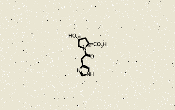 O=C(O)[C@@H]1C[C@@H](O)CN1C(=O)Cc1c[nH]cn1